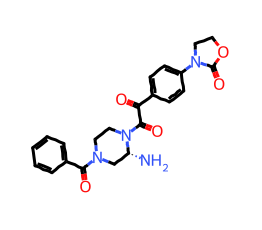 N[C@@H]1CN(C(=O)c2ccccc2)CCN1C(=O)C(=O)c1ccc(N2CCOC2=O)cc1